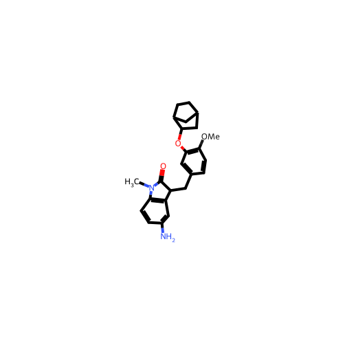 COc1ccc(CC2C(=O)N(C)c3ccc(N)cc32)cc1OC1CC2CCC1C2